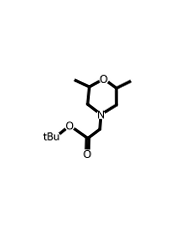 CC1CN(CC(=O)OC(C)(C)C)CC(C)O1